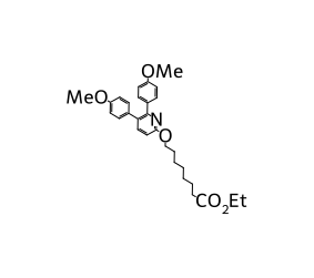 CCOC(=O)CCCCCCCOc1ccc(-c2ccc(OC)cc2)c(-c2ccc(OC)cc2)n1